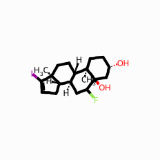 C[C@]12CC[C@H]3[C@@H](CC(F)C4(O)C[C@@H](O)CC[C@]34C)[C@@H]1CC=C2I